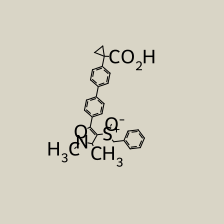 CC1C([S+]([O-])Cc2ccccc2)=C(c2ccc(-c3ccc(C4(C(=O)O)CC4)cc3)cc2)ON1C